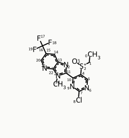 CC[S+]([O-])c1cnc(Cl)nc1-c1nc2cc(C(F)(F)F)cnc2n1C